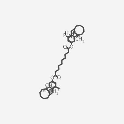 C[C@@]12CCCCCC(Cc3c(F)cc(OC(=O)CCCCCCCCC(=O)Oc4cc(F)c5c(c4)[C@@]4(C)CCCCCC(C5)[C@@H]4N)cc31)[C@@H]2N